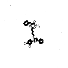 NC(=O)[C@H](Cc1ccccc1)NC(=O)CCCCOc1cc(-c2cccnc2)nn1-c1ccc(Cl)c(Cl)c1